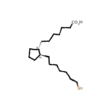 O=C(O)CCCCCC[C@H]1CCC[C@@H]1CCCCCCCS